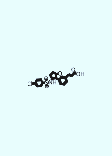 O=C(O)C=Cc1cccc2c1OC1CCC(NS(=O)(=O)c3ccc(Cl)cc3)C21